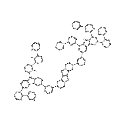 Cc1c(-c2cnccn2)cccc1-c1cccc(-n2c3cnc(-c4cccc(-c5ccc6sc7c8cc(-c9cccc(-c%10cc(-c%11nccc(-c%12ccccc%12)n%11)c%11oc%12c(-c%13nccc(-c%14ccccc%14)n%13)cc(-c%13cccnc%13-c%13ccccn%13)cc%12c%11c%10)c9)ccc8sc7c6c5)c4)cc3c3cc(-c4cccnc4-c4cnccn4)ncc32)c1C